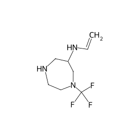 C=CNC1CNCCN(C(F)(F)F)C1